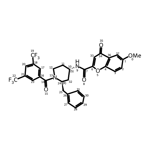 COc1ccc2oc(C(=O)N[C@H]3CCN(C(=O)c4cc(C(F)(F)F)cc(C(F)(F)F)c4)[C@H](Cc4ccccc4)C3)cc(=O)c2c1